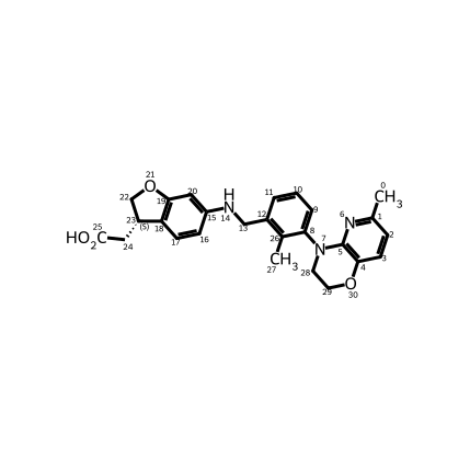 Cc1ccc2c(n1)N(c1cccc(CNc3ccc4c(c3)OC[C@H]4CC(=O)O)c1C)CCO2